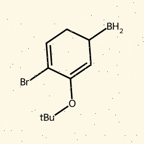 BC1C=C(OC(C)(C)C)C(Br)=CC1